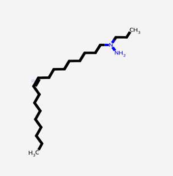 CCCCCCCC/C=C\CCCCCCCCN(N)CCC